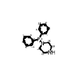 c1ccc(P(c2ccccc2)N2CCNCC2)cc1